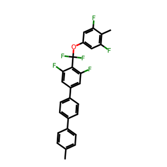 Cc1ccc(-c2ccc(-c3cc(F)c(C(F)(F)Oc4cc(F)c(C)c(F)c4)c(F)c3)cc2)cc1